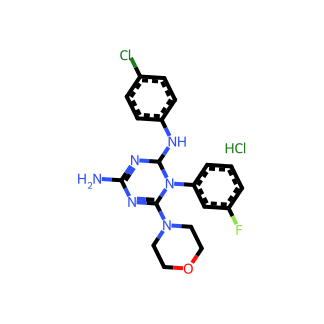 Cl.NC1=NC(Nc2ccc(Cl)cc2)N(c2cccc(F)c2)C(N2CCOCC2)=N1